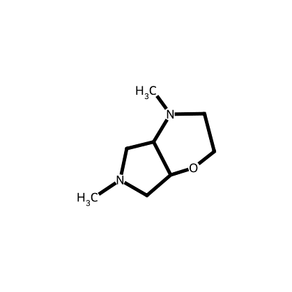 CN1CC2OCCN(C)C2C1